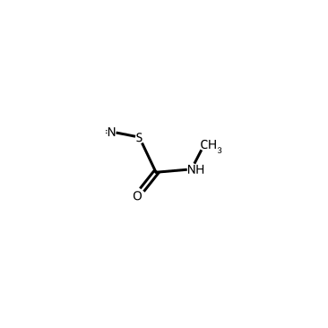 CNC(=O)S[N]